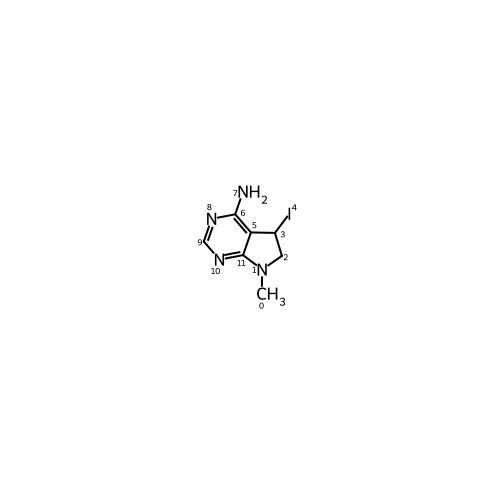 CN1CC(I)c2c(N)ncnc21